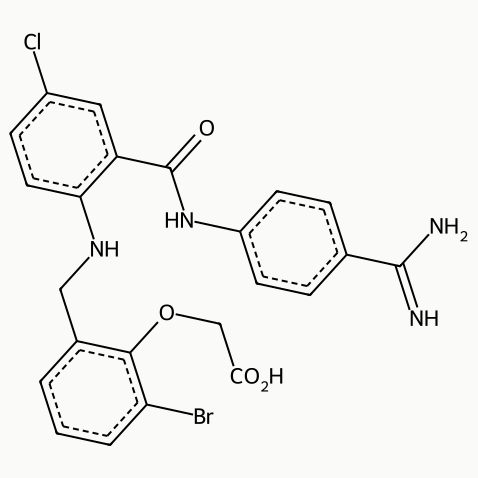 N=C(N)c1ccc(NC(=O)c2cc(Cl)ccc2NCc2cccc(Br)c2OCC(=O)O)cc1